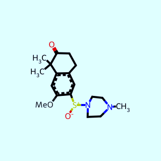 COc1cc2c(cc1[S+]([O-])N1CCN(C)CC1)CCC(=O)C2(C)C